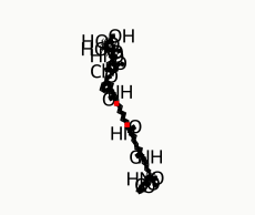 COC(=O)[C@@H](CCCCNC(=O)CCCCCNC(=O)CCCCCCCCC(=O)Nc1cccc(COc2cc(OC)c(C(=O)N[C@H]3[C@@H](OC)O[C@H](CO)[C@@H](O)[C@@H]3O)cc2Cl)c1)NC(=O)OC(C)(C)C